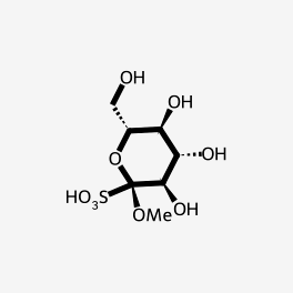 CO[C@@]1(S(=O)(=O)O)O[C@H](CO)[C@@H](O)[C@H](O)[C@H]1O